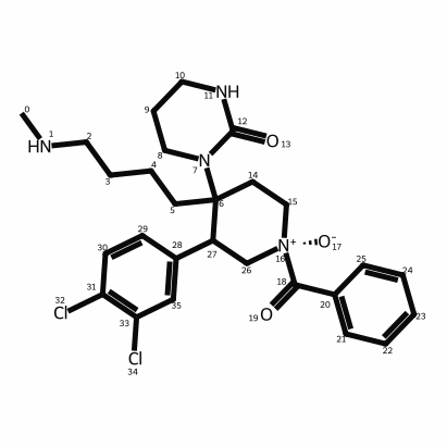 CNCCCCC1(N2CCCNC2=O)CC[N@@+]([O-])(C(=O)c2ccccc2)CC1c1ccc(Cl)c(Cl)c1